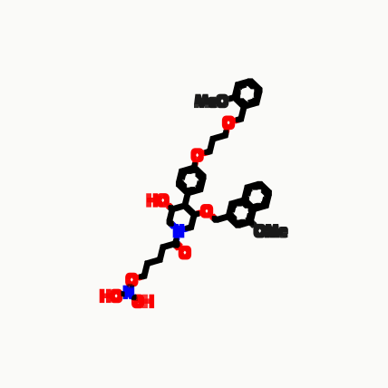 COc1ccccc1COCCCOc1ccc(C2C(O)CN(C(=O)CCCCON(O)O)CC2OCc2cc(OC)c3ccccc3c2)cc1